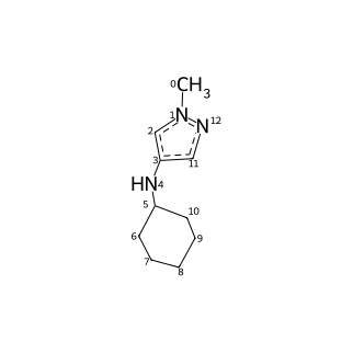 Cn1cc(NC2CCCCC2)cn1